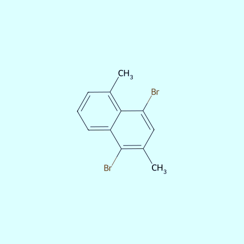 Cc1cc(Br)c2c(C)cccc2c1Br